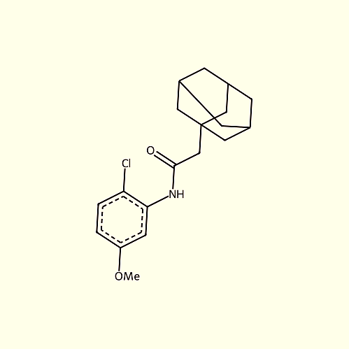 COc1ccc(Cl)c(NC(=O)CC23CC4CC(CC(C4)C2)C3)c1